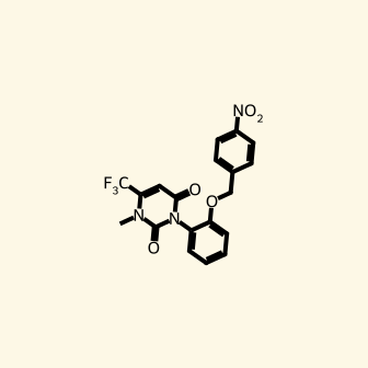 Cn1c(C(F)(F)F)cc(=O)n(-c2ccccc2OCc2ccc([N+](=O)[O-])cc2)c1=O